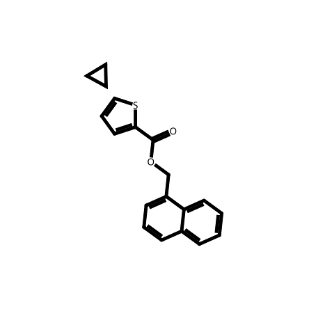 C1CC1.O=C(OCc1cccc2ccccc12)c1cccs1